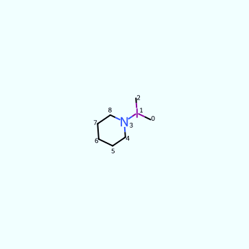 CI(C)N1CCCCC1